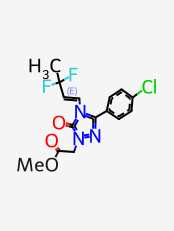 COC(=O)Cn1nc(-c2ccc(Cl)cc2)n(/C=C/C(C)(F)F)c1=O